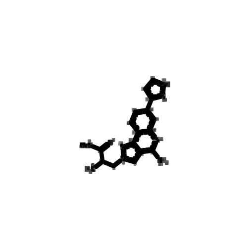 CNC(=O)C(C)Cn1cc2c(N)nc3cc(-c4cc[nH]n4)ccc3c2n1